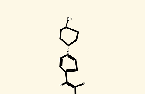 CCCC/C(F)=C(\F)c1ccc([C@H]2CC[C@H](CCC)CC2)cc1